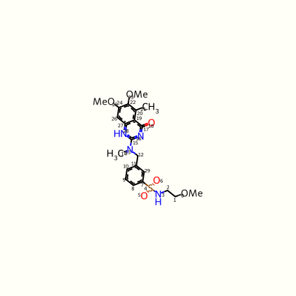 COCCNS(=O)(=O)c1cccc(CN(C)c2nc(=O)c3c(C)c(OC)c(OC)cc3[nH]2)c1